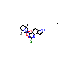 CC(C)(C)OC(=O)N1[C@@H]2CC[C@H]1CN(c1nc(Cl)nc3c1ccc1[nH]ccc13)C2